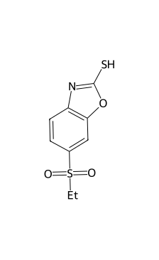 CCS(=O)(=O)c1ccc2nc(S)oc2c1